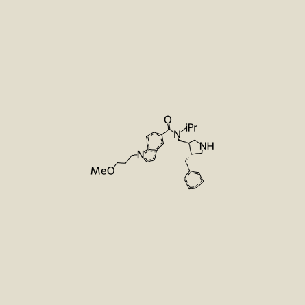 COCCCn1ccc2cc(C(=O)N(C[C@H]3CNC[C@@H]3Cc3ccccc3)C(C)C)ccc21